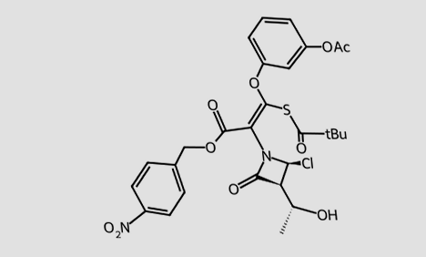 CC(=O)Oc1cccc(OC(SC(=O)C(C)(C)C)=C(C(=O)OCc2ccc([N+](=O)[O-])cc2)N2C(=O)[C@H]([C@@H](C)O)[C@@H]2Cl)c1